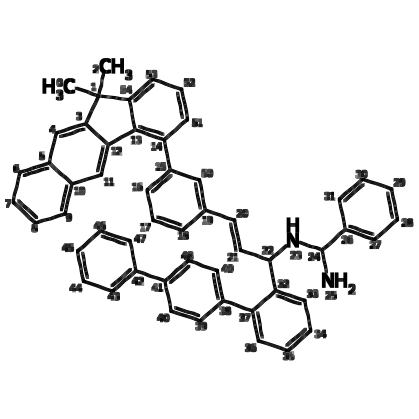 CC1(C)c2cc3ccccc3cc2-c2c(-c3cccc(/C=C/C(NC(N)c4ccccc4)c4ccccc4-c4ccc(-c5ccccc5)cc4)c3)cccc21